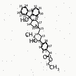 C.CCOC(=O)Cc1ccc(C(O)CCCN2CCC(C(O)(c3ccccc3)c3ccccc3)CC2)cc1